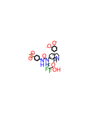 COc1ccc([C@@]23CC[C@@H](NC(=O)Nc4ccc(S(C)(=O)=O)cc4)C[C@@H]2N(C)CC3)cc1OC.O=C(O)C(F)(F)F